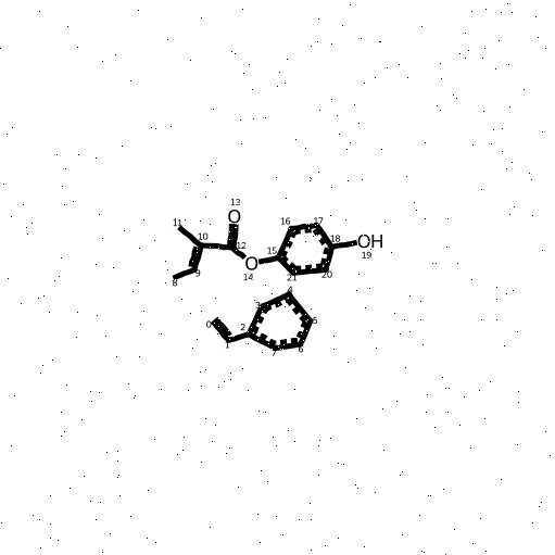 C=Cc1ccccc1.CC=C(C)C(=O)Oc1ccc(O)cc1